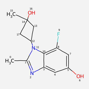 Cc1nc2cc(O)cc(F)c2n1C1CC(C)(O)C1